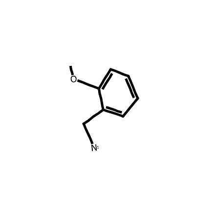 COc1ccccc1C[N]